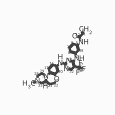 C=CC(=O)Nc1cccc(Nc2nc(Nc3ccc4c(c3)OCC[C@@H]3CN(C)CCN43)ncc2C(F)(F)F)c1